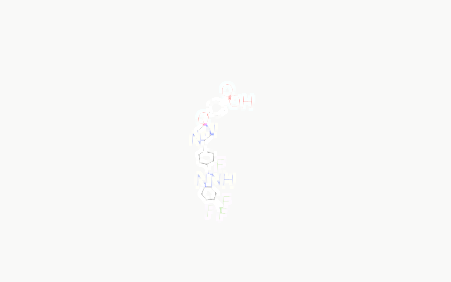 O=C(O)[C@H]1CC[C@@H](Oc2cnc(-c3ccc(-c4nc5ccc(C(F)(F)F)cc5[nH]4)c(F)c3)cn2)CC1